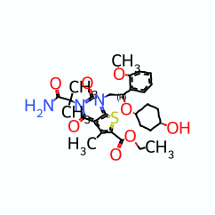 CCOC(=O)c1sc2c(c1C)c(=O)n(C(C)(C)C(N)=O)c(=O)n2C[C@H](O[C@H]1CC[C@H](O)CC1)c1ccccc1OC